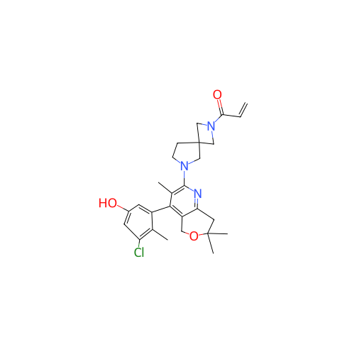 C=CC(=O)N1CC2(CCN(c3nc4c(c(-c5cc(O)cc(Cl)c5C)c3C)COC(C)(C)C4)C2)C1